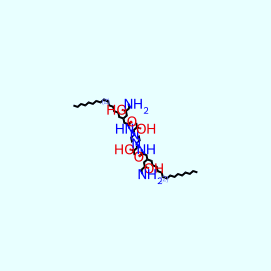 CCCCCCCC/C=C\CCCCCC(CC(=O)NC(C(C)O)N1CCN(C(NC(=O)CC(CCCCC/C=C\CCCCCCCC)CC(O)CN)C(C)O)CC1)CC(O)CN